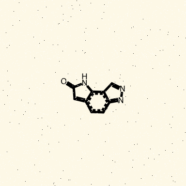 O=C1C=c2ccc3c(c2N1)C=NN=3